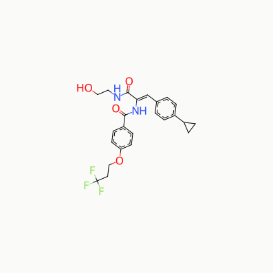 O=C(NCCO)/C(=C/c1ccc(C2CC2)cc1)NC(=O)c1ccc(OCCC(F)(F)F)cc1